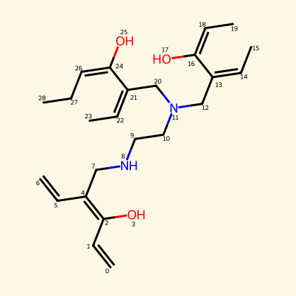 C=C/C(O)=C(\C=C)CNCCN(CC(=C/C)/C(O)=C\C)CC(=C/C)/C(O)=C\CC